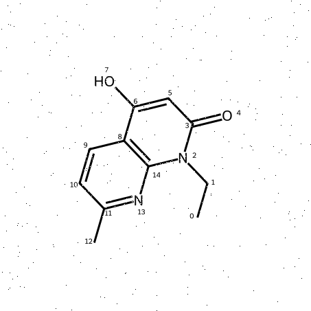 CCn1c(=O)cc(O)c2ccc(C)nc21